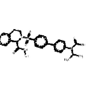 CC(C)N(C(=O)O)c1ccc(-c2ccc(S(=O)(=O)N3CCc4ccccc4C3C(=O)NO)cc2)cc1